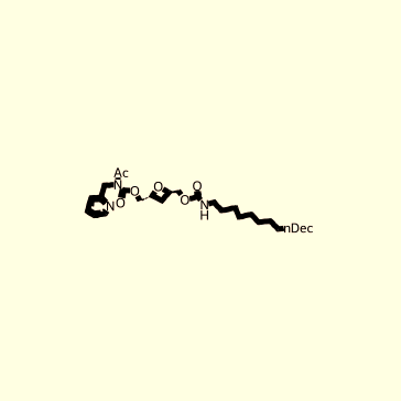 CCCCCCCCCCCCCCCCCCNC(=O)OC[C@H]1C[C@H](COC(=O)N(Cc2ccccn2)C(C)=O)O1